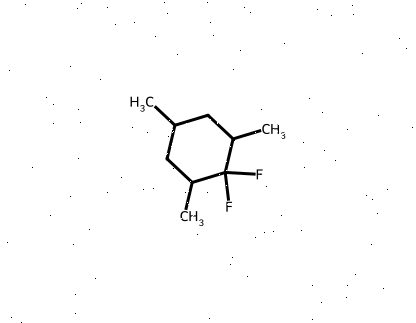 CC1CC(C)C(F)(F)C(C)C1